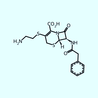 NCCSC1=C(C(=O)O)N2C(=O)[C@@H](NC(=O)Cc3ccccc3)[C@@H]2SC1